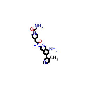 Cc1ccncc1-c1cc(N)c2cnc(NC(=O)C=C3CCN(C(=O)CN)CC3)cc2c1